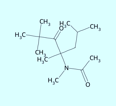 CC(=O)N(C)C(C)(CC(C)C)C(=O)C(C)(C)C